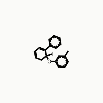 Cc1cccc(OC2(I)CC=CC=C2c2ccccc2)c1